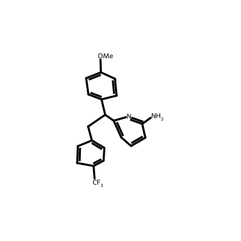 COc1ccc(C(Cc2ccc(C(F)(F)F)cc2)c2cccc(N)n2)cc1